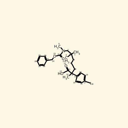 CN(CC(C)(C)CCCC(C)(C(=O)O)c1ccc(I)cc1)C(=O)OCc1ccccc1